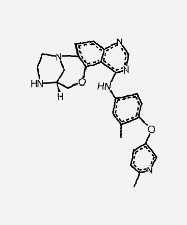 Cc1ccc(Oc2ccc(Nc3ncnc4ccc5c(c34)OC[C@H]3CN5CCN3)cc2C)cn1